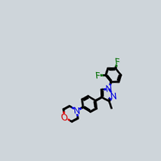 Cc1nn(-c2ccc(F)cc2F)cc1-c1ccc(N2CCOCC2)cc1